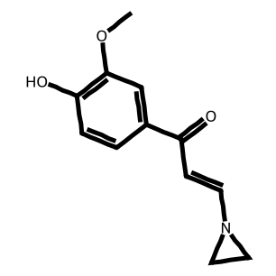 COc1cc(C(=O)C=CN2CC2)ccc1O